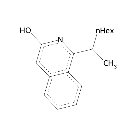 CCCCCCC(C)c1nc(O)cc2ccccc12